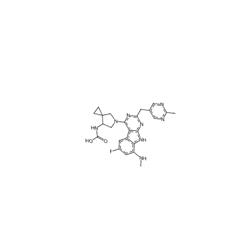 CNc1cc(F)cc2c1[nH]c1nc(Cc3cnc(C)nc3)nc(N3CC(NC(=O)O)C4(CC4)C3)c12